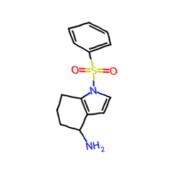 NC1CCCc2c1ccn2S(=O)(=O)c1ccccc1